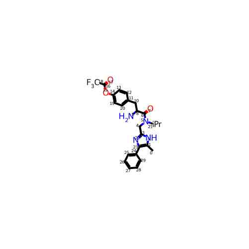 Cc1[nH]c(CN(C(=O)C(N)Cc2ccc(OC(=O)C(F)(F)F)cc2)C(C)C)nc1-c1ccccc1